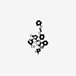 N#Cc1ccnc(N2C(=O)CC[C@H]2C(=O)N(c2cccc(OCCOc3ccccc3)c2)[C@H](C(=O)NC2CC(F)(F)C2)c2ccccc2Cl)c1